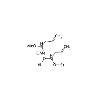 C=CC[SiH](OC)OC.C=CC[SiH](OCC)OCC